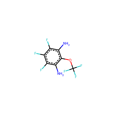 Nc1c(F)c(F)c(F)c(N)c1OC(F)(F)F